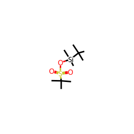 CC(C)(C)[Si](C)(C)OS(=O)(=O)C(C)(C)C